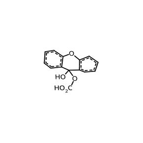 O=C(O)OC1(O)c2ccccc2Oc2ccccc21